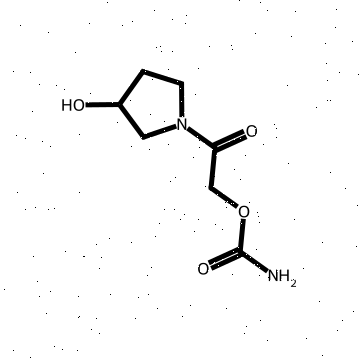 NC(=O)OCC(=O)N1CCC(O)C1